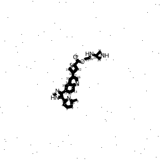 Cc1cccc(-c2[nH]cnc2-c2ccc3ncc(-c4csc(C(=O)OCCNC5CNC5)c4)cc3c2)n1